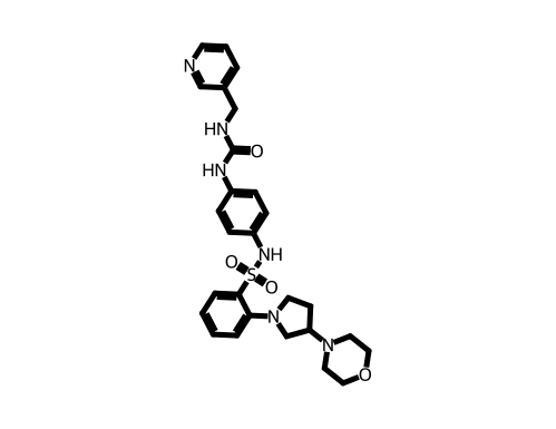 O=C(NCc1cccnc1)Nc1ccc(NS(=O)(=O)c2ccccc2N2CCC(N3CCOCC3)C2)cc1